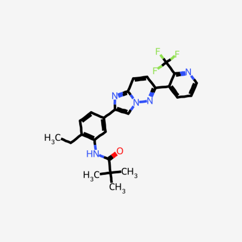 CCc1ccc(-c2cn3nc(-c4cccnc4C(F)(F)F)ccc3n2)cc1NC(=O)C(C)(C)C